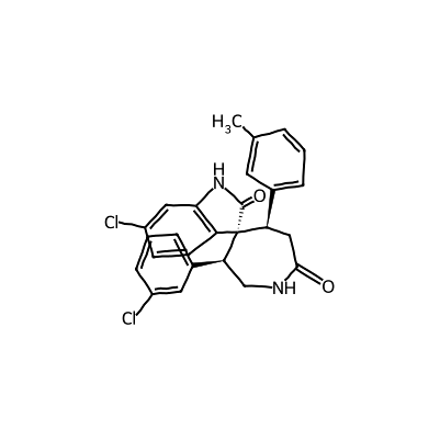 Cc1cccc([C@H]2CC(=O)NC[C@@H](c3cccc(Cl)c3)[C@]23C(=O)Nc2cc(Cl)ccc23)c1